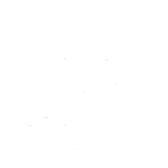 C/C=C(\C=C/C(C)(C)N(c1ccccc1)c1ccc2c(c1)CCC=C2)N(c1ccc(N(C2=CCC3C=CC=CC3=C2)c2ccccc2)cc1)c1ccc(N(c2ccccc2)c2ccc3ccccc3c2)cc1